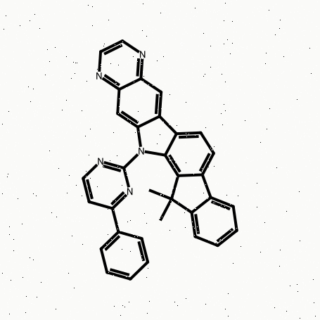 CC1(C)c2ccccc2-c2ccc3c4cc5nccnc5cc4n(-c4nccc(-c5ccccc5)n4)c3c21